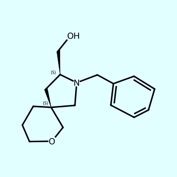 OC[C@@H]1C[C@@]2(CCCOC2)CN1Cc1ccccc1